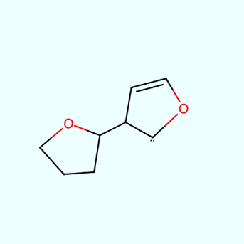 [C]1OC=CC1C1CCCO1